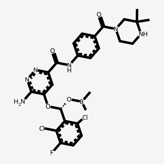 CB(C)O[C@@H](Oc1cc(C(=O)Nc2ccc(C(=O)N3CCNC(C)(C)C3)cc2)nnc1N)c1c(Cl)ccc(F)c1Cl